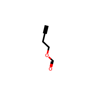 C#CCCOC=O